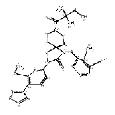 COc1nc(N2CC3(CCN(C(=O)C(C)(C)CO)CC3)N(Cc3cccc(F)c3C)C2=O)ccc1-c1cn[nH]c1